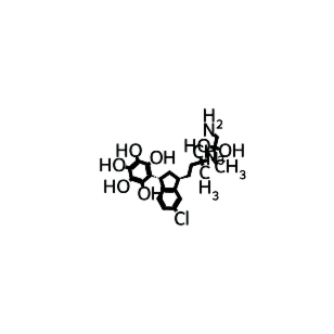 CN(C(C)(C)CC[C@@H]1C[C@@H](c2c(O)c(O)c(O)c(O)c2O)c2ccc(Cl)cc21)C(O)(O)CN